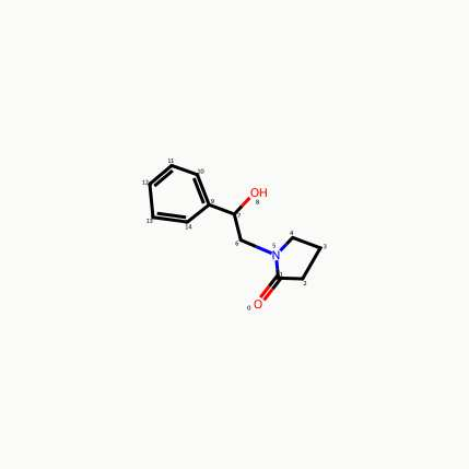 O=C1CCCN1CC(O)c1ccccc1